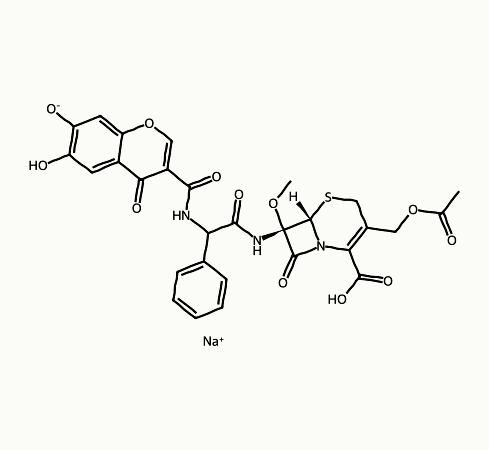 CO[C@@]1(NC(=O)C(NC(=O)c2coc3cc([O-])c(O)cc3c2=O)c2ccccc2)C(=O)N2C(C(=O)O)=C(COC(C)=O)CS[C@H]21.[Na+]